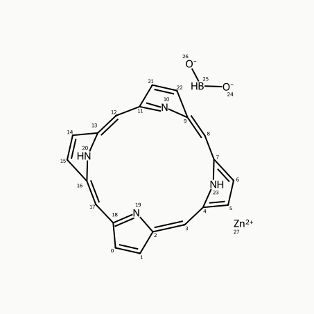 C1=Cc2cc3ccc(cc4nc(cc5ccc(cc1n2)[nH]5)C=C4)[nH]3.[O-]B[O-].[Zn+2]